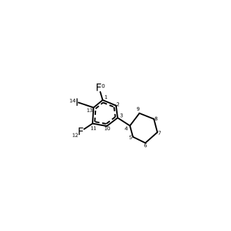 Fc1cc(C2CCCCC2)cc(F)c1I